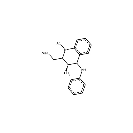 COCC1[C@H](C)C(Nc2ccccc2)c2ccccc2N1C(C)=O